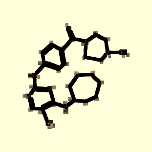 CN1CCN(C(=O)c2ccc(Nc3ncc(C(F)(F)F)c(NC4CCCCCC4)n3)cc2)CC1